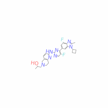 Cc1nc2c(F)cc(-c3nc(Nc4ccc5c(n4)CCN(CC(C)O)C5)ncc3F)cc2n1C1CCC1